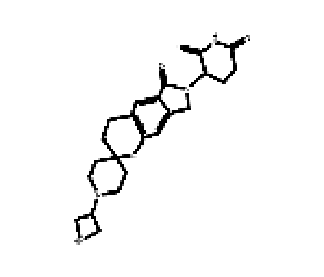 O=C1CCC(N2Cc3cc4c(cc3C2=O)CCC2(CCN(C3CNC3)CC2)O4)C(=O)N1